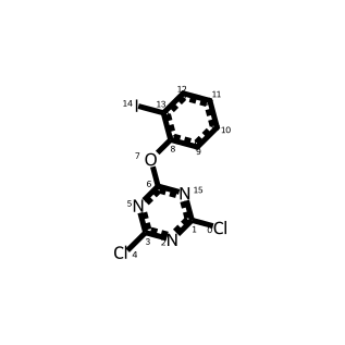 Clc1nc(Cl)nc(Oc2ccccc2I)n1